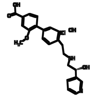 COc1cc(C(=O)O)ccc1-c1ccc(CCNC[C@H](O)c2cccnc2)cc1.Cl.Cl